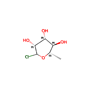 C[C@@H]1OC(Cl)[C@H](O)[C@H](O)[C@H]1O